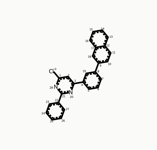 Clc1cc(-c2cccc(-c3ccc4ccccc4c3)c2)nc(-c2ccccc2)n1